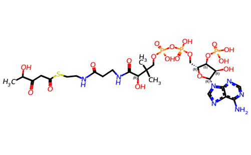 CC(O)C(=O)CC(=O)SCCNC(=O)CCNC(=O)[C@H](O)C(C)(C)COP(=O)(O)OP(=O)(O)OC[C@H]1O[C@@H](n2cnc3c(N)ncnc32)[C@H](O)[C@@H]1OP(=O)(O)O